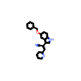 N#C/C(=C\c1ccccn1)c1c[nH]c2ccc(OCc3ccccc3)cc12